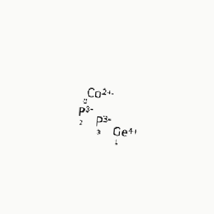 [Co+2].[Ge+4].[P-3].[P-3]